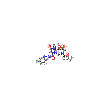 O=C(O)C(=O)N1CCC2(OCCn3c2nc(C(=O)NCc2ccc(F)cc2)cc3=O)C(O)C1